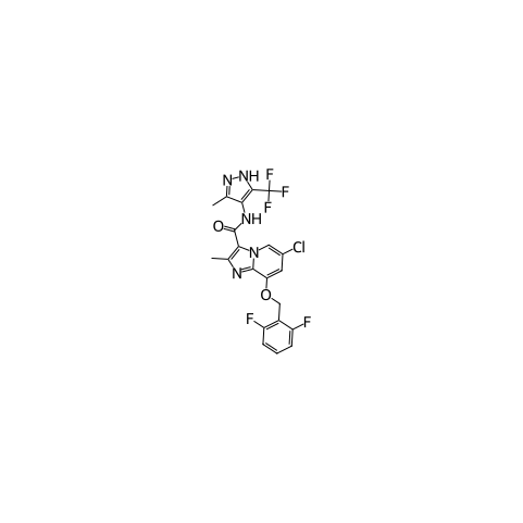 Cc1n[nH]c(C(F)(F)F)c1NC(=O)c1c(C)nc2c(OCc3c(F)cccc3F)cc(Cl)cn12